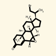 CC(CBr)[C@H]1CC[C@H]2[C@@H]3[C@@H]4O[C@@H]4C4=CC(=O)CC[C@]4(C)[C@H]3CC[C@]12C